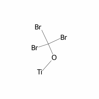 [Ti][O]C(Br)(Br)Br